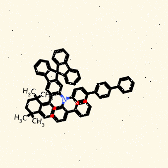 CC1(C)CCC(C)(C)c2c(-c3cc4c(cc3N(c3ccc(-c5ccc(-c6ccccc6)cc5)cc3)c3ccccc3-c3ccccc3)C3(c5ccccc5-c5ccccc53)c3ccccc3-4)cccc21